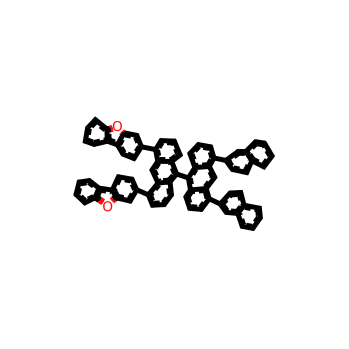 c1ccc2cc(-c3cccc4c(-c5c6cccc(-c7ccc8c(c7)oc7ccccc78)c6cc6c(-c7ccc8c(c7)oc7ccccc78)cccc56)c5cccc(-c6ccc7ccccc7c6)c5cc34)ccc2c1